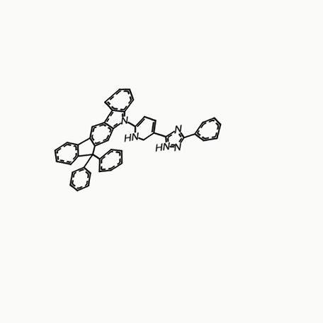 C1=C(c2nc(-c3ccccc3)n[nH]2)CNC(n2c3ccccc3c3cc4c(cc32)C(c2ccccc2)(c2ccccc2)c2ccccc2-4)=C1